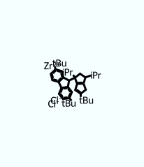 CC(C)C1CC(C(C)C)(C2c3cc(C(C)(C)C)ccc3-c3ccc(C(C)(C)C)cc32)C2=C1CC(C(C)(C)C)=C2.[Cl-].[Cl-].[Zr+2]